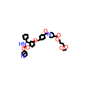 O=C(N[C@@H](c1ccccc1)c1cccc(OCc2ccc(C(=O)N3CCC(C(=O)OCCCC4OCCO4)CC3)cc2)c1)OC1CN2CCC1CC2